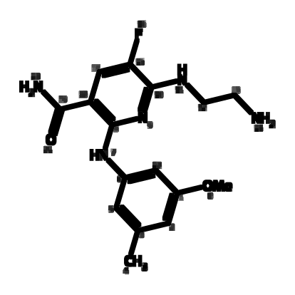 COc1cc(C)cc(Nc2nc(NCCN)c(F)cc2C(N)=O)c1